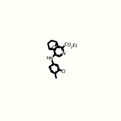 CCOC(=O)c1ncc(Nc2ccc(C)c(Cl)c2)c2c1C1CCC2CC1